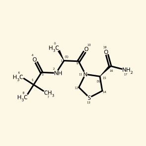 C[C@H](NC(=O)C(C)(C)C)C(=O)N1CSC[C@@H]1C(N)=O